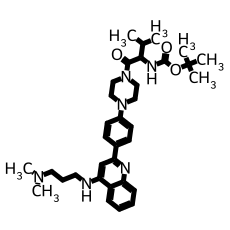 CC(C)C(NC(=O)OC(C)(C)C)C(=O)N1CCN(c2ccc(-c3cc(NCCCN(C)C)c4ccccc4n3)cc2)CC1